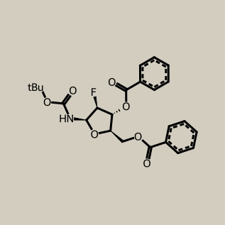 CC(C)(C)OC(=O)N[C@@H]1O[C@H](COC(=O)c2ccccc2)[C@@H](OC(=O)c2ccccc2)[C@@H]1F